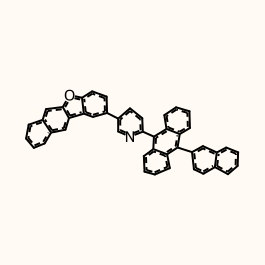 c1ccc2cc(-c3c4ccccc4c(-c4ccc(-c5ccc6oc7cc8ccccc8cc7c6c5)cn4)c4ccccc34)ccc2c1